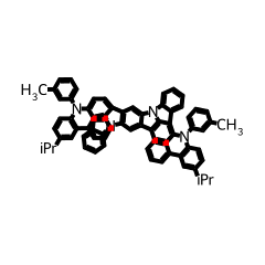 Cc1cccc(N(c2ccc(C(C)C)cc2-c2ccccc2)c2ccc3c4cc5c(cc4n4c6ccccc6c2c34)c2ccc(N(c3cccc(C)c3)c3ccc(C(C)C)cc3-c3ccccc3)c3c4ccccc4n5c23)c1